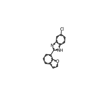 Clc1ccc2[nH]c(-c3cccc4ccoc34)nc2c1